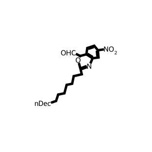 CCCCCCCCCCCCCCCCCC1=Nc2cc([N+](=O)[O-])ccc2C(C=O)O1